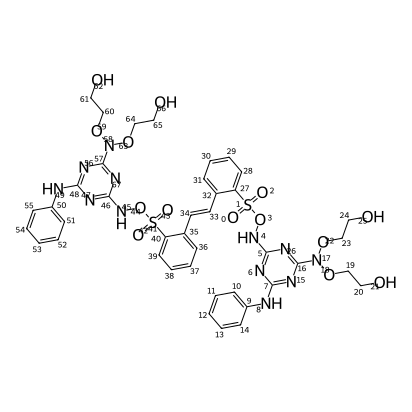 O=S(=O)(ONc1nc(Nc2ccccc2)nc(N(OCCO)OCCO)n1)c1ccccc1C=Cc1ccccc1S(=O)(=O)ONc1nc(Nc2ccccc2)nc(N(OCCO)OCCO)n1